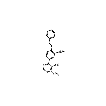 COc1cc(-c2ncnc(N)c2C#N)ccc1OCc1ccccc1